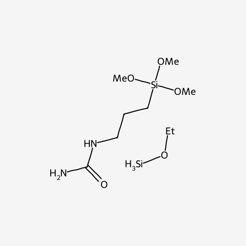 CCO[SiH3].CO[Si](CCCNC(N)=O)(OC)OC